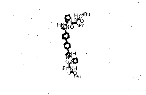 CC(C)[C@H](NC(=O)OC(C)(C)C)C(=O)N1CCC[C@H]1c1ncc(-c2ccc(-c3ccc(-c4c[nH]c([C@@H]5C6CCC(C6)N5C(=O)[C@@H](NC(=O)OC(C)(C)C)C(C)C)n4)cc3)cc2)[nH]1